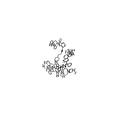 CN1CC[C@H]2CC[C@@H](C(=O)N[C@@H](COC(N)=O)C(=O)N[C@@H](Cc3ccc(F)cc3)C(=O)N3CCC(CCC#Cc4cccc5c4CN(C4CCC(=O)NC4=O)C5=O)CC3)N2C(=O)[C@@H](NC(=O)c2cc3cc(C(F)(F)P(=O)(O)O)ccc3s2)C1